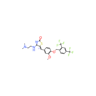 COc1cc(/C=C2\SC(=O)N=C2NCCN(C)C)ccc1OCc1ccc(C(F)(F)F)cc1C(F)(F)F